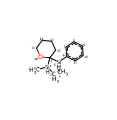 C[SiH](C)C1([SiH](C)c2ccccc2)CCCCO1